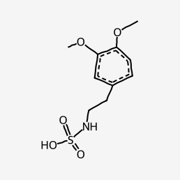 COc1ccc(CCNS(=O)(=O)O)cc1OC